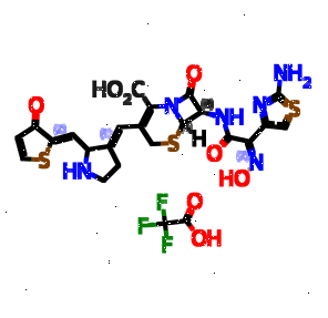 Nc1nc(/C(=N/O)C(=O)N[C@@H]2C(=O)N3C(C(=O)O)=C(/C=C4\CCNC4/C=C4\SC=CC4=O)CS[C@H]23)cs1.O=C(O)C(F)(F)F